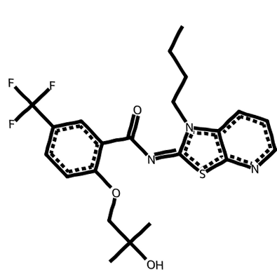 CCCCn1c(=NC(=O)c2cc(C(F)(F)F)ccc2OCC(C)(C)O)sc2ncccc21